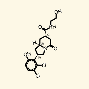 O=C(NCCO)[C@@H]1CC(=O)N2C[C@@H](c3c(O)ccc(Cl)c3Cl)C[C@H]2C1